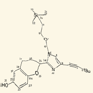 CC(C)(C)C#Cc1cn(COCC[Si](C)(C)C)c(C2CCc3cc(O)ccc3O2)n1